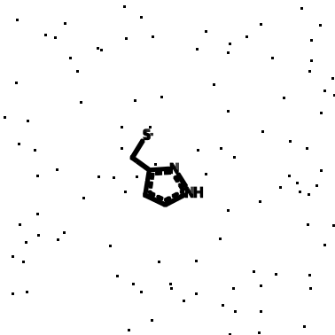 [S]Cc1cc[nH]n1